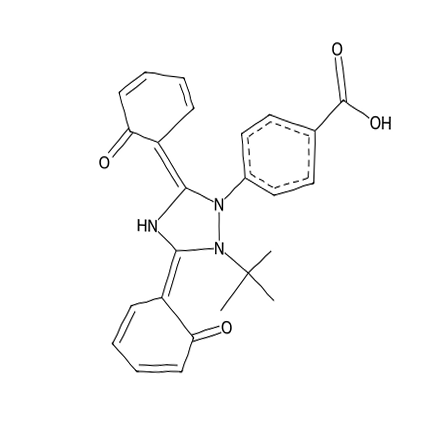 CC(C)(C)N1/C(=C2/C=CC=CC2=O)N/C(=C2/C=CC=CC2=O)N1c1ccc(C(=O)O)cc1